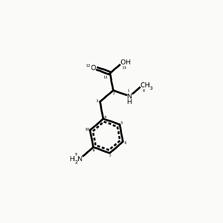 CNC(Cc1cccc(N)c1)C(=O)O